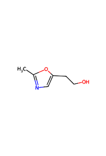 Cc1ncc(CCO)o1